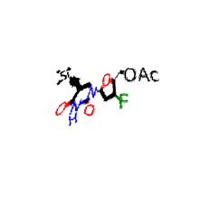 CC(=O)OC[C@H]1O[C@@H](n2cc(C#C[Si](C)(C)C)c(=O)[nH]c2=O)C[C@@H]1F